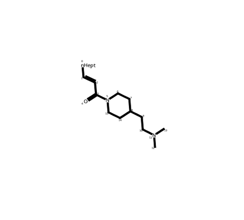 CCCCCCCC=CC(=O)N1CCC(CCN(C)C)CC1